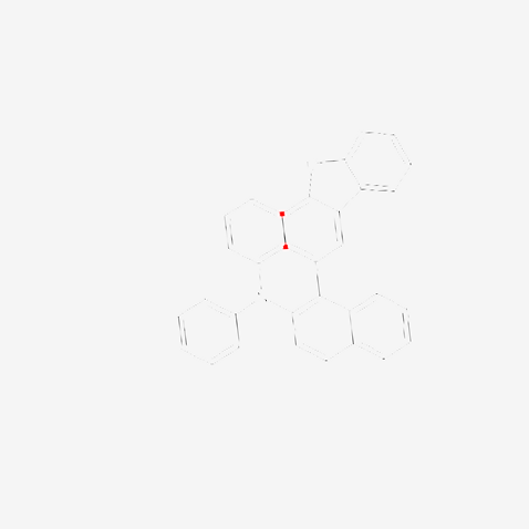 c1ccc(N(c2ccccc2)c2ccc3ccccc3c2-c2ccc3oc4ccccc4c3c2)cc1